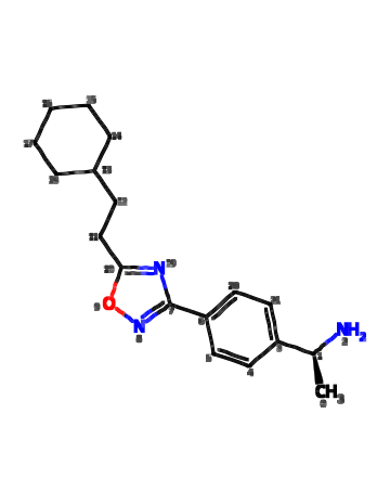 C[C@H](N)c1ccc(-c2noc(CCC3CCCCC3)n2)cc1